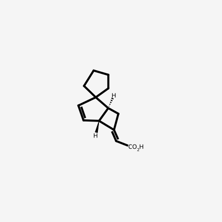 O=C(O)C=C1C[C@H]2[C@H]1C=CC21CCCC1